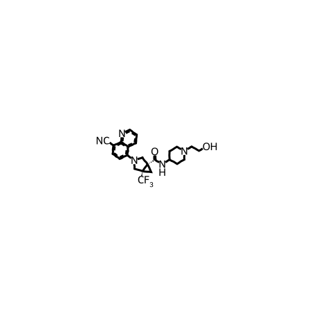 N#Cc1ccc(N2C[C@@]3(C(=O)NC4CCN(CCO)CC4)C[C@@]3(C(F)(F)F)C2)c2cccnc12